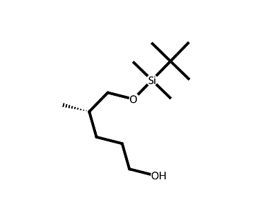 C[C@@H](CCCO)CO[Si](C)(C)C(C)(C)C